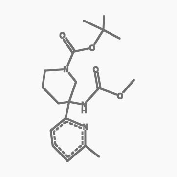 COC(=O)NC1(c2cccc(C)n2)CCCN(C(=O)OC(C)(C)C)C1